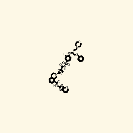 O=C(NS(=O)(=O)c1ccc(N[C@H](CCN2CCOCC2)CSc2ccccc2)c(F)c1)c1csc(N2CCc3cccc(C(=O)Nc4nc5cccnc5s4)c3C2)n1